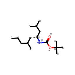 CCCC(C)C[C@H](CC(C)C)NC(=O)OC(C)(C)C